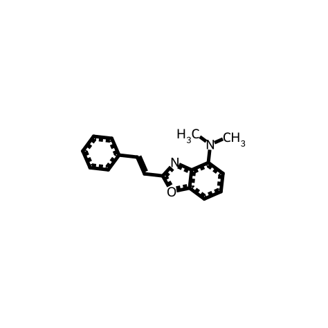 CN(C)c1cccc2oc(C=Cc3ccccc3)nc12